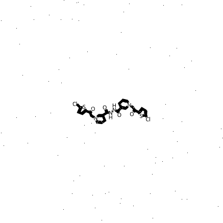 O=C(NNC(=O)C1=CN(CC(=O)c2ccc(Cl)s2)C=CC1)C1=CN(CC(=O)c2ccc(Cl)s2)C=CC1